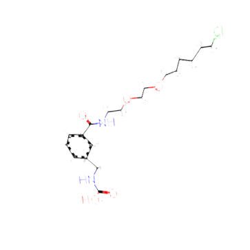 O=C(O)NCc1cccc(C(=O)NCCOCCOCCCCCCCl)c1